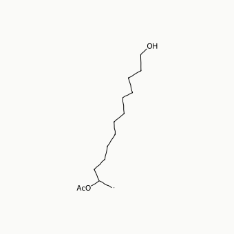 [CH2]C(CCCCCCCCCCCO)OC(C)=O